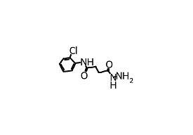 NNC(=O)CCC(=O)Nc1ccccc1Cl